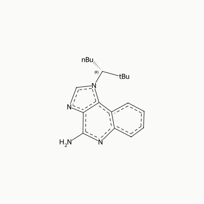 CCCC[C@@H](n1cnc2c(N)nc3ccccc3c21)C(C)(C)C